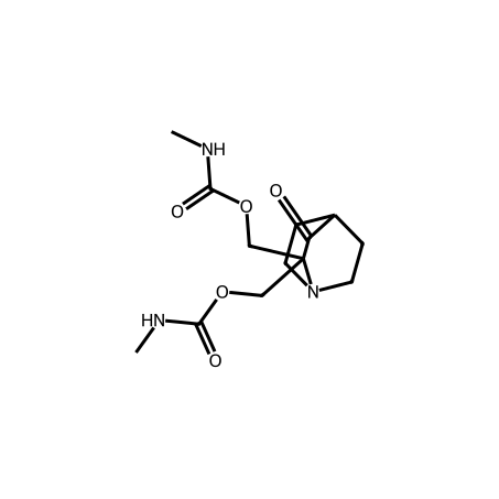 CNC(=O)OCC1(COC(=O)NC)C(=O)C2CCN1CC2